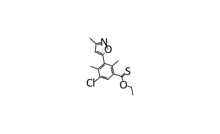 CCOC(=S)c1cc(Cl)c(C)c(-c2cc(C)no2)c1C